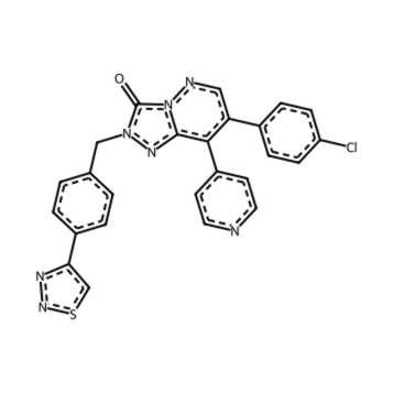 O=c1n(Cc2ccc(-c3csnn3)cc2)nc2c(-c3ccncc3)c(-c3ccc(Cl)cc3)cnn12